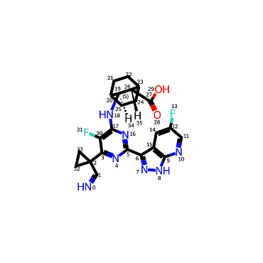 N=CC1(c2nc(-c3n[nH]c4ncc(F)cc34)nc(N[C@H]3C4CCC(CC4)[C@@H]3C(=O)O)c2F)CC1